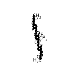 C=CC(=O)OCOc1ccc(/C=C/C(=O)Oc2ccc(OC(=O)/C=C/c3ccc(OCOC(=O)C=C)cc3F)c(C(F)(F)F)c2C(F)(F)F)c(F)c1